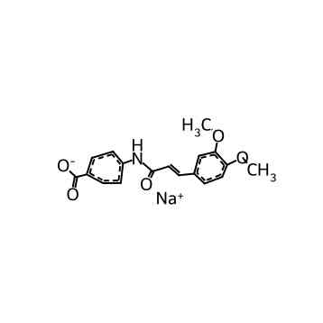 COc1ccc(C=CC(=O)Nc2ccc(C(=O)[O-])cc2)cc1OC.[Na+]